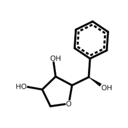 OC1COC([C@H](O)c2ccccc2)C1O